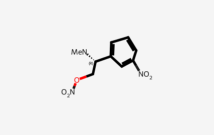 CN[C@@H](CO[N+](=O)[O-])c1cccc([N+](=O)[O-])c1